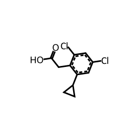 O=C(O)Cc1c(Cl)cc(Cl)cc1C1CC1